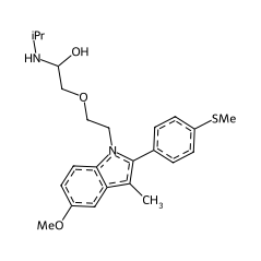 COc1ccc2c(c1)c(C)c(-c1ccc(SC)cc1)n2CCOCC(O)NC(C)C